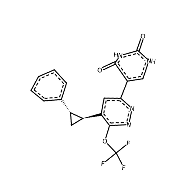 O=c1[nH]cc(-c2cc([C@H]3C[C@@H]3c3ccccc3)c(OC(F)(F)F)nn2)c(=O)[nH]1